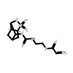 C=CC(=O)OCCNC(=O)OC1C2CC3C1OS(=O)(=O)C3C2